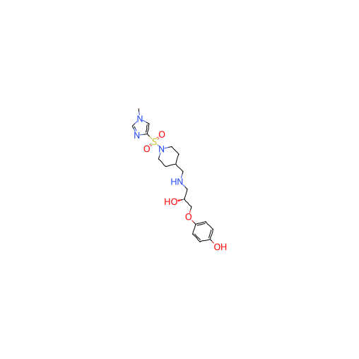 Cn1cnc(S(=O)(=O)N2CCC(CNC[C@H](O)COc3ccc(O)cc3)CC2)c1